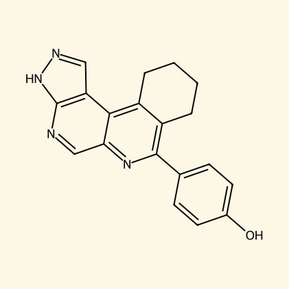 Oc1ccc(-c2nc3cnc4[nH]ncc4c3c3c2CCCC3)cc1